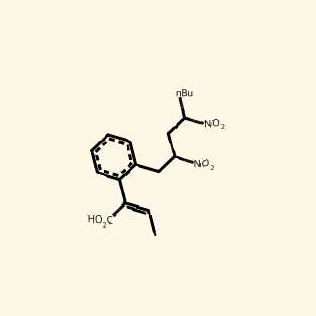 CC=C(C(=O)O)c1ccccc1CC(CC(CCCC)[N+](=O)[O-])[N+](=O)[O-]